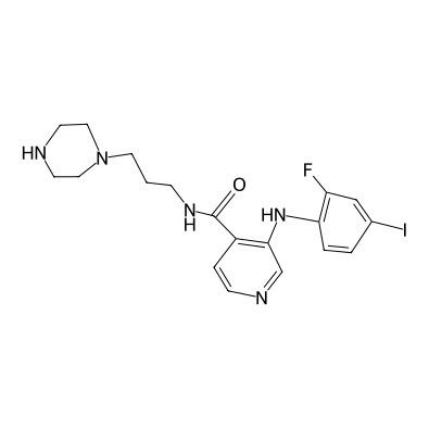 O=C(NCCCN1CCNCC1)c1ccncc1Nc1ccc(I)cc1F